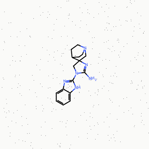 NC1=NC2(CN3CCC2CC3)CN1c1nc2ccccc2[nH]1